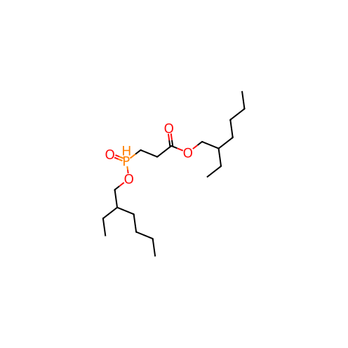 CCCCC(CC)COC(=O)CC[PH](=O)OCC(CC)CCCC